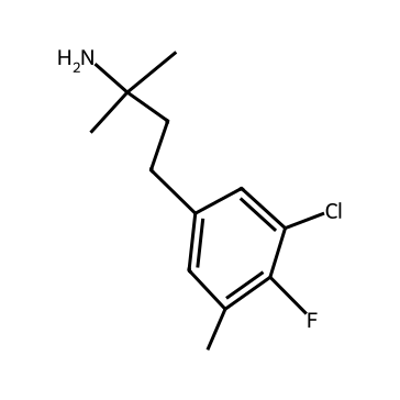 Cc1cc(CCC(C)(C)N)cc(Cl)c1F